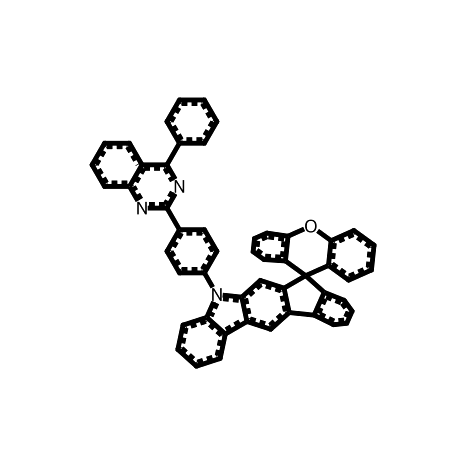 c1ccc(-c2nc(-c3ccc(-n4c5ccccc5c5cc6c(cc54)C4(c5ccccc5Oc5ccccc54)c4ccccc4-6)cc3)nc3ccccc23)cc1